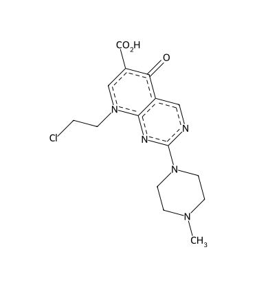 CN1CCN(c2ncc3c(=O)c(C(=O)O)cn(CCCl)c3n2)CC1